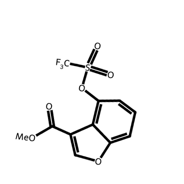 COC(=O)c1coc2cccc(OS(=O)(=O)C(F)(F)F)c12